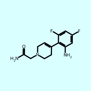 NC(=O)CN1CC=C(c2c(N)cc(F)cc2F)CC1